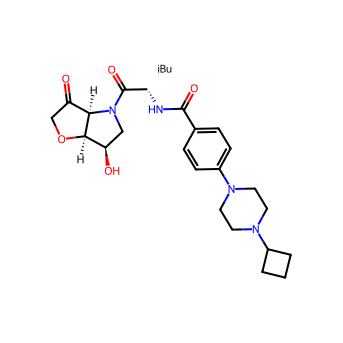 CC[C@H](C)[C@H](NC(=O)c1ccc(N2CCN(C3CCC3)CC2)cc1)C(=O)N1C[C@@H](O)[C@H]2OCC(=O)[C@H]21